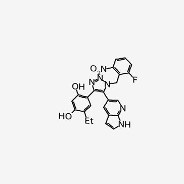 CCc1cc(-c2nnn(Cc3c(F)cccc3[N+](=O)[O-])c2-c2cnc3[nH]ccc3c2)c(O)cc1O